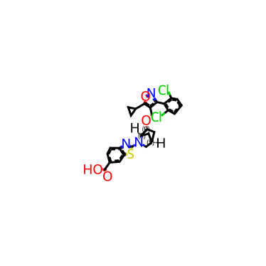 O=C(O)c1ccc2nc(N3C[C@H]4C[C@@H]3[C@H](OCc3c(-c5c(Cl)cccc5Cl)noc3C3CC3)C4)sc2c1